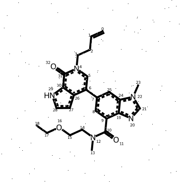 C=CCCn1cc(-c2cc(C(=O)N(C)CCOCC)c3ncn(C)c3c2)c2cc[nH]c2c1=O